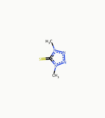 Cn1nnn(C)c1=S